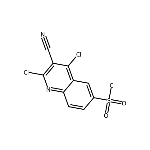 N#Cc1c(Cl)nc2ccc(S(=O)(=O)Cl)cc2c1Cl